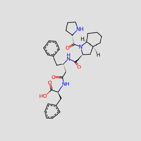 O=C(C[C@H](Cc1ccccc1)NC(=O)[C@@H]1C[C@@H]2CCCC[C@@H]2N1C(=O)[C@@H]1CCCN1)N[C@@H](Cc1ccccc1)C(=O)O